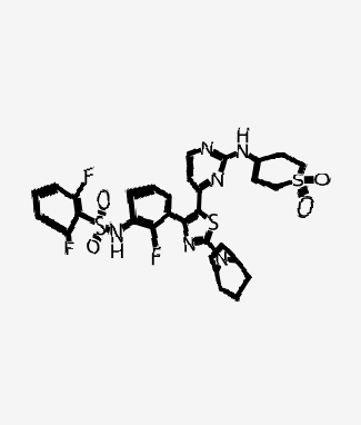 O=S1(=O)CCC(Nc2nccc(-c3sc(N4C5CCCC4CC5)nc3-c3cccc(NS(=O)(=O)c4c(F)cccc4F)c3F)n2)CC1